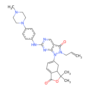 C=CCn1c(=O)c2cnc(Nc3ccc(N4CCN(C)CC4)cc3)nc2n1C1=CC=C2C(=O)OC(C)(C)C2C1